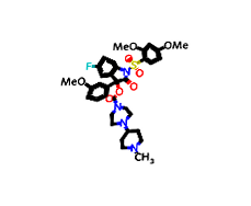 COc1cccc(C2(OC(=O)N3CCN(C4CCN(C)CC4)CC3)C(=O)N(S(=O)(=O)c3ccc(OC)cc3OC)c3ccc(F)cc32)c1